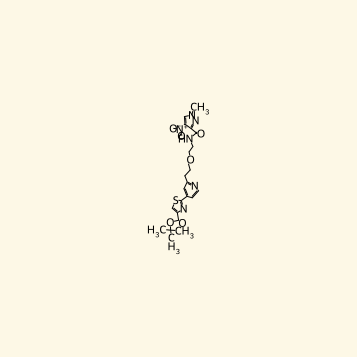 Cn1cc([N+](=O)[O-])c(C(=O)NCCOCCCc2cc(-c3nc(C(=O)OC(C)(C)C)cs3)ccn2)n1